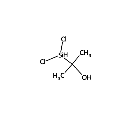 CC(C)(O)[SiH](Cl)Cl